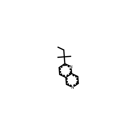 CCC(C)(C)c1ccc2cnccc2n1